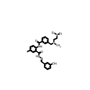 CCN(CC)CCN(C)Cc1cccc(C(=O)Nc2ccc(I)cc2C(=O)NN=Cc2cccc(O)c2)c1